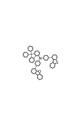 c1ccc(C2(c3ccccc3)c3ccccc3-c3c(N(c4ccc(-c5cccc6c5oc5ccccc56)cc4)c4ccc(-c5cccc6sc7ccccc7c56)cc4)cccc32)cc1